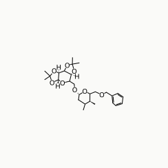 CC1C[C@H](OCC2O[C@@H]3OC(C)(C)O[C@H]3C3OC(C)(C)O[C@@H]23)OC(COCc2ccccc2)[C@H]1C